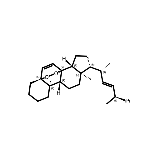 CC(C)[C@@H](C)C=C[C@@H](C)[C@H]1CC[C@@H]2[C@]1(C)CC[C@H]1[C@]23C=C[C@]2(CCCC[C@]12C)OO3